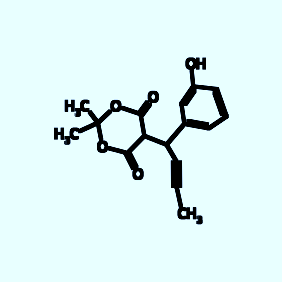 CC#CC(c1cccc(O)c1)C1C(=O)OC(C)(C)OC1=O